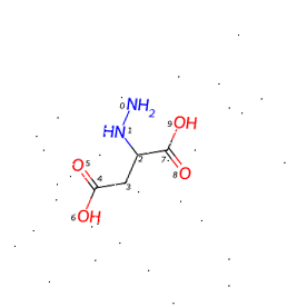 NNC(CC(=O)O)C(=O)O